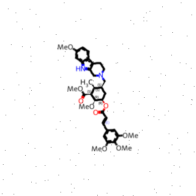 COC(=O)[C@H]1[C@@H](C)[C@@H](CN2CCc3c([nH]c4cc(OC)ccc34)C2)C[C@@H](OC(=O)/C=C/c2cc(OC)c(OC)c(OC)c2)[C@@H]1OC